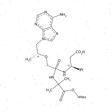 CCCCCCOC(=O)C(C)(C)NP(=O)(CO[C@H](C)Cn1cnc2c(N)ncnc21)N[C@@H](CC(=O)O)C(C)C